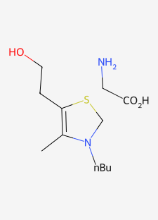 CCCCN1CSC(CCO)=C1C.NCC(=O)O